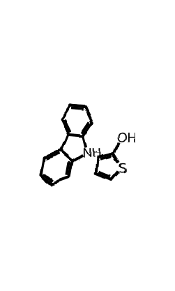 Oc1cccs1.c1ccc2c(c1)[nH]c1ccccc12